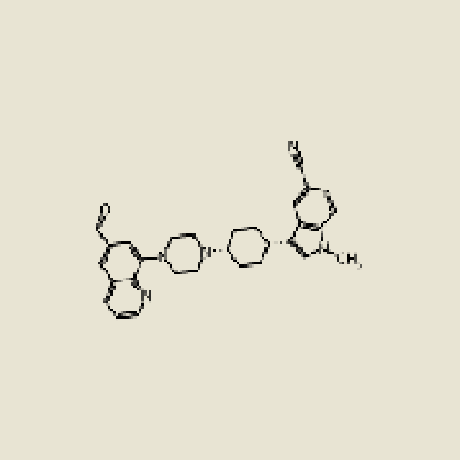 Cn1cc([C@H]2CC[C@@H](N3CCN(c4cc(C=O)cc5cccnc45)CC3)CC2)c2cc(C#N)ccc21